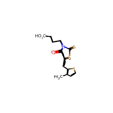 Cc1ccsc1/C=C1\SC(=S)N(CCCC(=O)O)C1=O